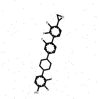 Oc1ccc(C2CCC(c3ccc(-c4ccc(C5CO5)c(F)c4F)c(F)c3)CC2)c(F)c1F